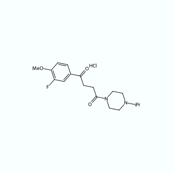 COc1ccc(C(=O)CCC(=O)N2CCN(C(C)C)CC2)cc1F.Cl